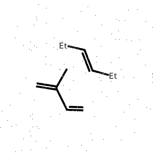 C=CC(=C)C.CCC=CCC